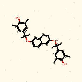 Cc1cc(C(C)(C)Oc2ccc3cc(OC(C)(C)c4cc(C)c(O)c(C)c4)ccc3c2)cc(C)c1O